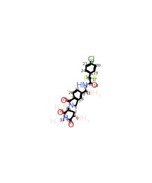 BC1C[C@](B)(N2Cc3cc(C(B)NC(=O)C(F)(F)c4ccc(Cl)cc4)ccc3C2=O)C(=O)N(B)C1=O